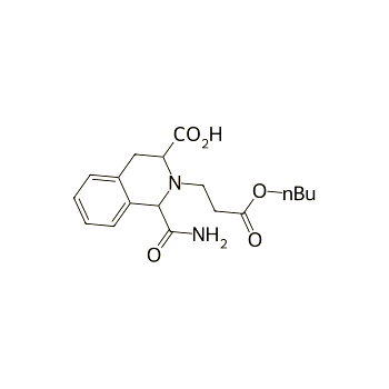 CCCCOC(=O)CCN1C(C(=O)O)Cc2ccccc2C1C(N)=O